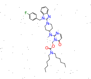 CCCCCCN(CCCCCC)C(=O)OCn1c(N(C)C2CCN(c3nc4ccccc4n3Cc3ccc(F)cc3)CC2)nccc1=O